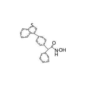 O=C(NO)C(c1ccccc1)c1ccc(-c2csc3ccccc23)cc1